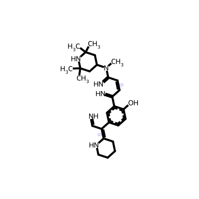 CN(C(=N)/C=C\C(=N)c1cc(/C(C=N)=C2\CCCCN2)ccc1O)C1CC(C)(C)NC(C)(C)C1